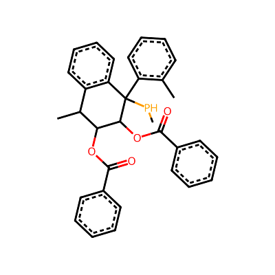 CPC1(c2ccccc2C)c2ccccc2C(C)C(OC(=O)c2ccccc2)C1OC(=O)c1ccccc1